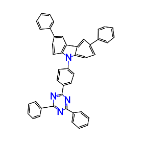 c1ccc(-c2ccc3c(c2)c2cc(-c4ccccc4)ccc2n3-c2ccc(-c3nc(-c4ccccc4)nc(-c4ccccc4)n3)cc2)cc1